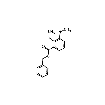 CCc1c(NC)cccc1C(=O)OCc1ccccc1